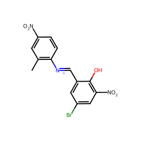 Cc1cc([N+](=O)[O-])ccc1/N=C/c1cc(Br)cc([N+](=O)[O-])c1O